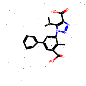 Cc1c(C(=O)O)cc(-c2ccccc2)cc1-n1nnc(C(=O)O)c1C(C)C